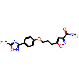 NC(=O)c1cc(CCCOc2ccc(-c3noc(C(F)(F)F)n3)cc2)on1